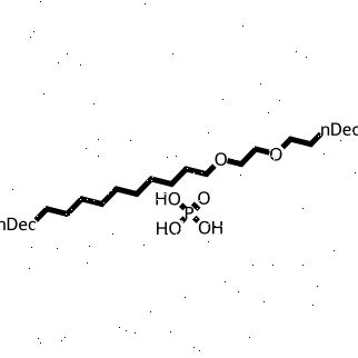 CCCCCCCCCCCCCCCCCCCCOCCOCCCCCCCCCCCC.O=P(O)(O)O